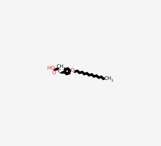 CCCCCCCCCCCCCCOc1ccc(C=C=C(C)C(=O)O)cc1